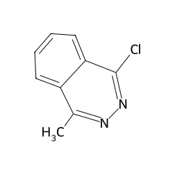 Cc1nnc(Cl)c2ccccc12